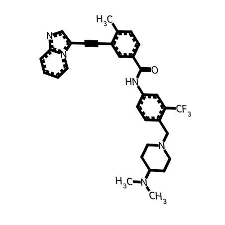 Cc1ccc(C(=O)Nc2ccc(CN3CCC(N(C)C)CC3)c(C(F)(F)F)c2)cc1C#Cc1cnc2ccccn12